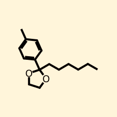 CCCCCCC1(c2ccc(C)cc2)OCCO1